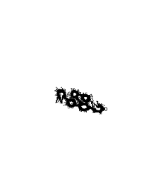 c1ccc(-c2ccc3c(c2)[Si]2(c4ccccc4-c4ccccc42)c2cc(-c4ccccn4)ccc2-3)nc1